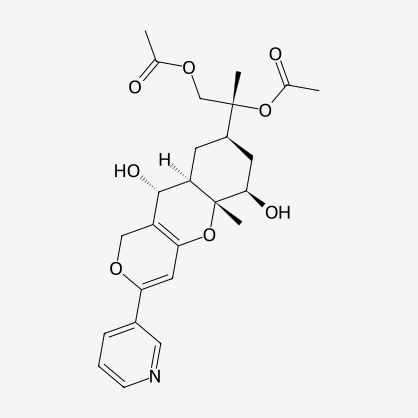 CC(=O)OC[C@](C)(OC(C)=O)[C@H]1C[C@@H](O)[C@]2(C)OC3=C(COC(c4cccnc4)=C3)[C@H](O)[C@H]2C1